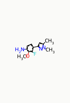 COc1c(N)ccc(-c2cc(C)n(C)n2)c1F